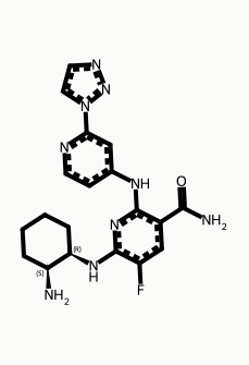 NC(=O)c1cc(F)c(N[C@@H]2CCCC[C@@H]2N)nc1Nc1ccnc(-n2ccnn2)c1